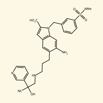 CNS(=O)(=O)c1cccc(Cn2c(C(=O)O)cc3cc(CCCNCC(O)(C#N)c4cccnc4)c(N)cc32)c1